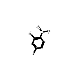 OB(O)c1ccc(Br)cc1Br